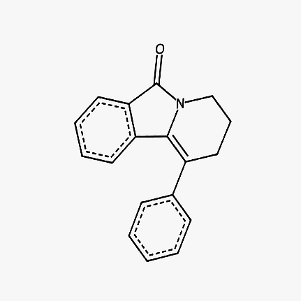 O=C1c2ccccc2C2=C(c3ccccc3)CCCN12